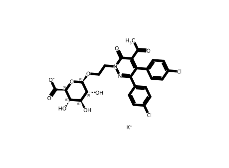 CC(=O)c1c(-c2ccc(Cl)cc2)c(-c2ccc(Cl)cc2)nn(CCO[C@@H]2O[C@H](C(=O)[O-])[C@@H](O)[C@H](O)[C@H]2O)c1=O.[K+]